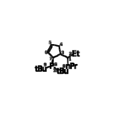 CCCC(CC)C1CC=C[C@@H]1P(C(C)(C)C)C(C)(C)C